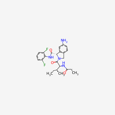 C[CH]C(=O)N[C@H](C(=O)N1Cc2ccc(N)cc2[C@H]1C(=O)Nc1c(F)cccc1F)[C@@H](C)CC